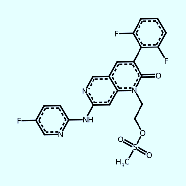 CS(=O)(=O)OCCn1c(=O)c(-c2c(F)cccc2F)cc2cnc(Nc3ccc(F)cn3)cc21